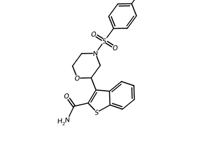 NC(=O)c1sc2ccccc2c1C1CN(S(=O)(=O)c2ccc(F)cc2)CCO1